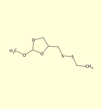 CCSSCC1COC(OC)O1